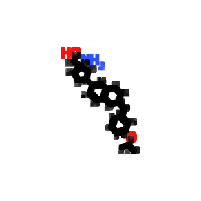 CC(C)Oc1cccc(CC2CCc3cc([C@H]4CC[C@](N)(CO)C4)ccc3C2)c1